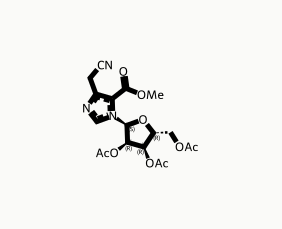 COC(=O)c1c(CC#N)ncn1[C@H]1O[C@H](COC(C)=O)[C@@H](OC(C)=O)[C@H]1OC(C)=O